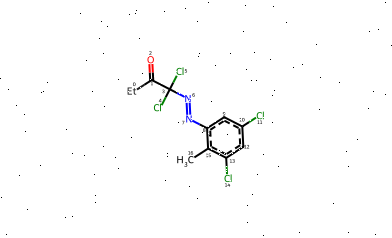 CCC(=O)C(Cl)(Cl)N=Nc1cc(Cl)cc(Cl)c1C